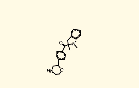 CN(C)C(C)(Cc1ccccc1)C(=O)c1ccc(C2CNCCO2)cc1